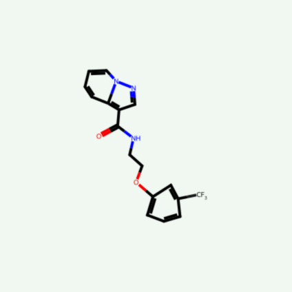 O=C(NCCOc1cccc(C(F)(F)F)c1)c1cnn2ccccc12